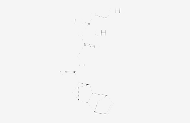 CCOC(C)(C)OC(=O)COC(=O)C1CC2CC1C1C3C=CC(C3)C21